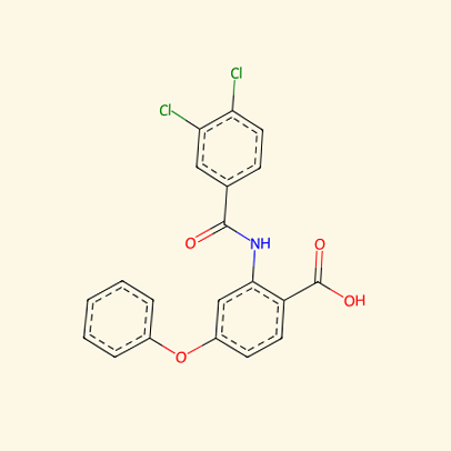 O=C(Nc1cc(Oc2ccccc2)ccc1C(=O)O)c1ccc(Cl)c(Cl)c1